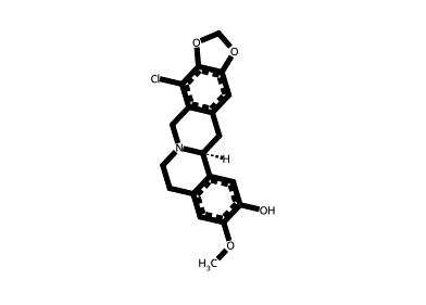 COc1cc2c(cc1O)[C@@H]1Cc3cc4c(c(Cl)c3CN1CC2)OCO4